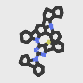 c1ccc2c(c1)ccc1c3cc4c5ccccc5n(-c5nc(-n6c7ccccc7c7ccccc76)nc6c5sc5ccccc56)c4c4c5ccccc5n(c21)c34